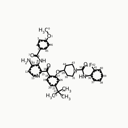 COc1ccc(C(=O)Nc2c(N)ccnc2C(=O)c2ccc(C(C)(C)C)cc2OC2CCN(C(=O)Nc3ccccc3F)CC2)cc1